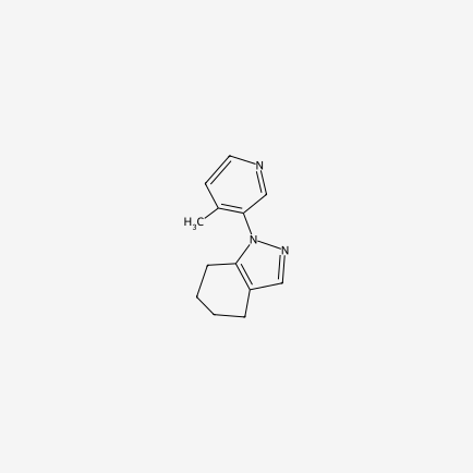 Cc1ccncc1-n1ncc2c1CCCC2